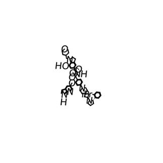 CC(C)c1ccccc1[C@@H]1CCCN1C1CC2(CCN(c3ccc(C(=O)NS(=O)(=O)c4cc(O)c5c(c4)CCN5CC4CCOCC4)c(Oc4cnc5[nH]ccc5c4)c3)CC2)C1